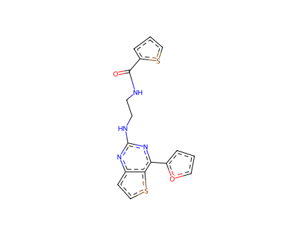 O=C(NCCNc1nc(-c2ccco2)c2sccc2n1)c1cccs1